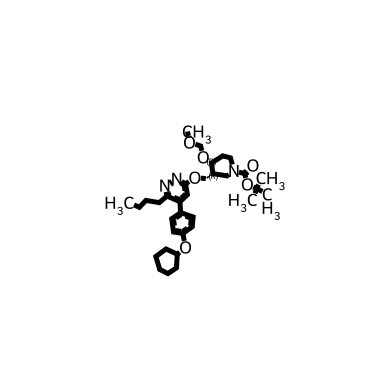 CCCCc1nnc(OC[C@H]2CN(C(=O)OC(C)(C)C)CC[C@H]2OCOC)cc1-c1ccc(OC2CCCCC2)cc1